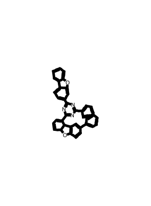 C1=CC2Oc3ccc(-c4ccccc4)cc3C2C(c2nc(-c3ccccc3)nc(-c3ccc4c(c3)oc3ccccc34)n2)=C1